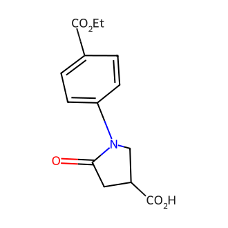 CCOC(=O)c1ccc(N2CC(C(=O)O)CC2=O)cc1